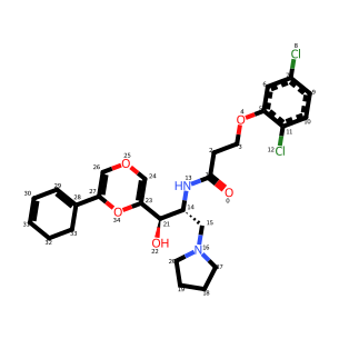 O=C(CCOc1cc(Cl)ccc1Cl)N[C@H](CN1CCCC1)[C@@H](O)C1=COC=C(C2=CC=CCC2)O1